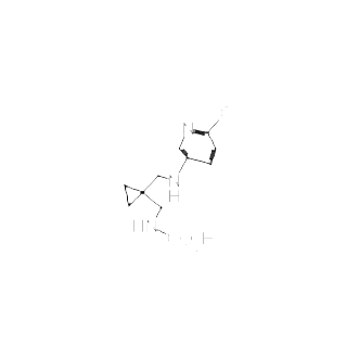 O=C(O)NCC1(CNc2ccc(Cl)nc2)CC1